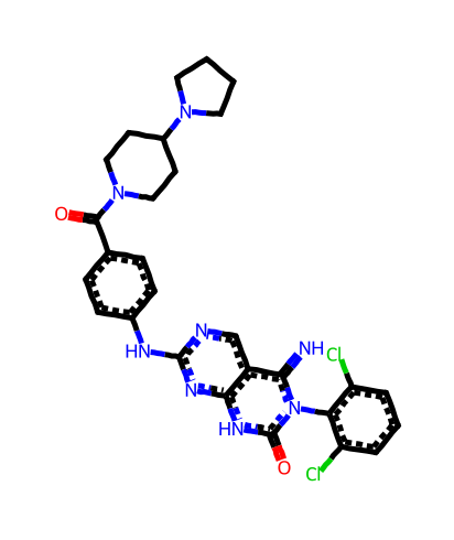 N=c1c2cnc(Nc3ccc(C(=O)N4CCC(N5CCCC5)CC4)cc3)nc2[nH]c(=O)n1-c1c(Cl)cccc1Cl